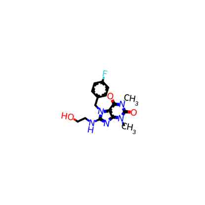 Cn1c(=O)c2c(nc(NCCO)n2Cc2ccc(F)cc2)n(C)c1=O